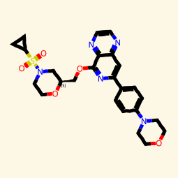 O=S(=O)(C1CC1)N1CCO[C@H](COc2nc(-c3ccc(N4CCOCC4)cc3)cc3nccnc23)C1